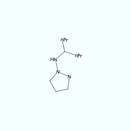 CCCC(CCC)NN1CCC[N]1